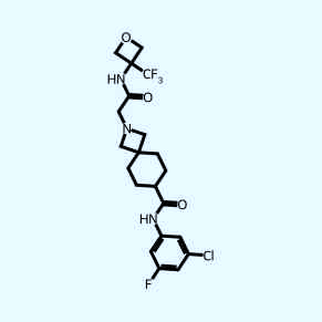 O=C(CN1CC2(CCC(C(=O)Nc3cc(F)cc(Cl)c3)CC2)C1)NC1(C(F)(F)F)COC1